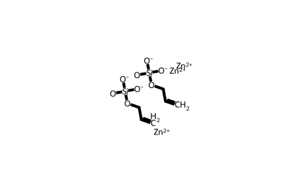 C=CCO[Si]([O-])([O-])[O-].C=CCO[Si]([O-])([O-])[O-].[Zn+2].[Zn+2].[Zn+2]